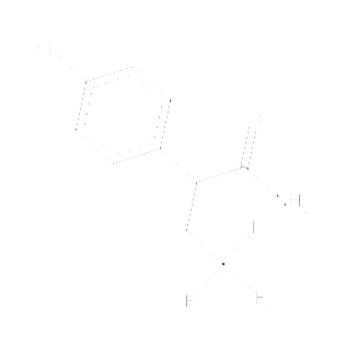 NC(=O)C(CC(F)(F)F)c1ccc(Cl)cc1